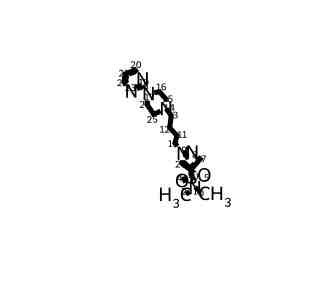 CN(C)S(=O)(=O)c1cnn(CCCCN2CCN(c3ncccn3)CC2)c1